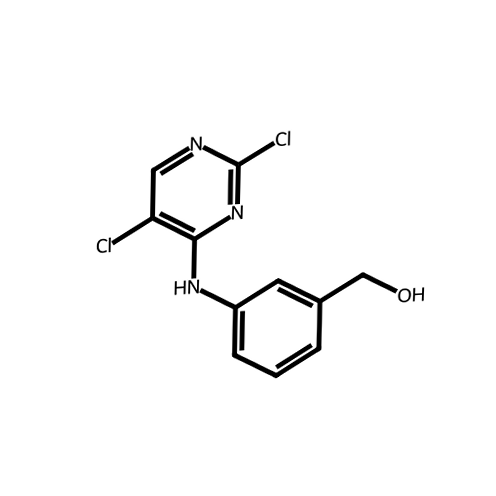 OCc1cccc(Nc2nc(Cl)ncc2Cl)c1